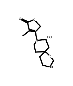 CC1=C(N2CCC3(CCNCC3)CC2)COC1=O.Cl